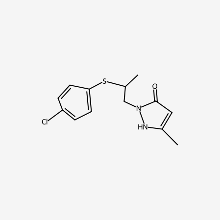 Cc1cc(=O)n(CC(C)Sc2ccc(Cl)cc2)[nH]1